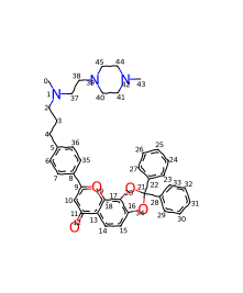 CN(CCCc1ccc(-c2cc(=O)c3ccc4c(c3o2)OC(c2ccccc2)(c2ccccc2)O4)cc1)CCN1CCN(C)CC1